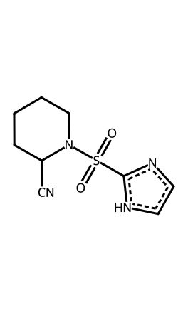 N#CC1CCCCN1S(=O)(=O)c1ncc[nH]1